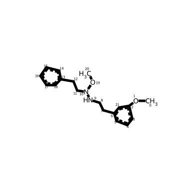 COc1cccc(CCNN(CCc2ccccc2)OC)c1